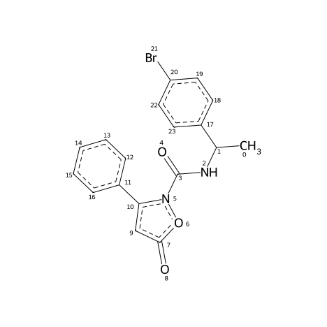 CC(NC(=O)n1oc(=O)cc1-c1ccccc1)c1ccc(Br)cc1